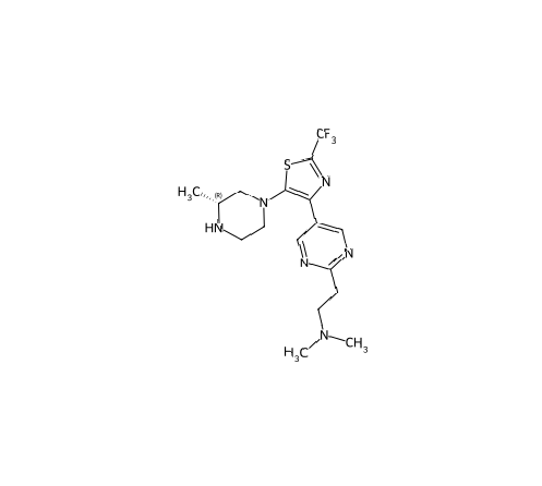 C[C@@H]1CN(c2sc(C(F)(F)F)nc2-c2cnc(CCN(C)C)nc2)CCN1